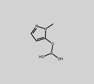 Cn1nccc1OB(O)O